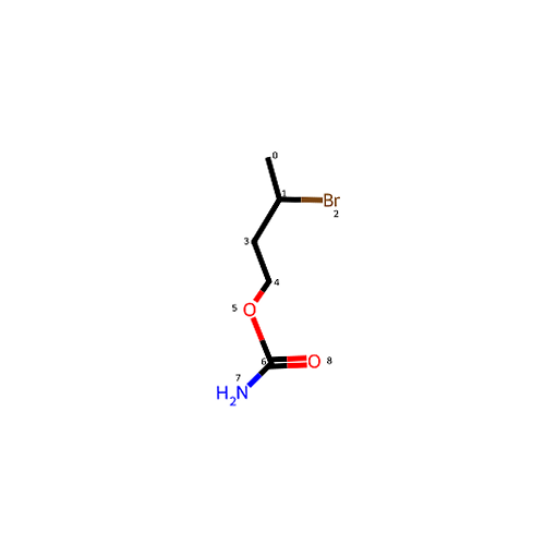 CC(Br)CCOC(N)=O